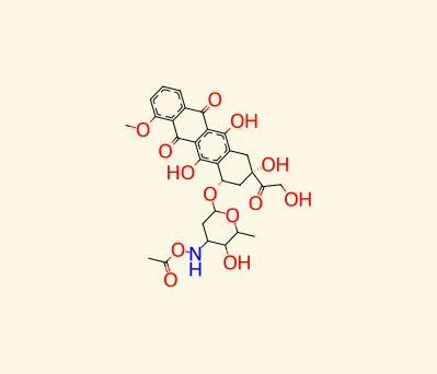 COc1cccc2c1C(=O)c1c(O)c3c(c(O)c1C2=O)C[C@@](O)(C(=O)CO)C[C@@H]3OC1CC(NOC(C)=O)C(O)C(C)O1